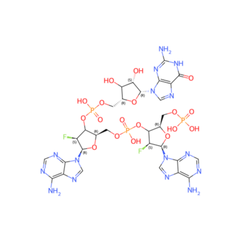 Nc1nc2c(ncn2[C@@H]2O[C@H](COP(=O)(O)OC3[C@@H](COP(=O)(O)OC4[C@@H](COP(=O)(O)O)O[C@@H](n5cnc6c(N)ncnc65)[C@H]4F)O[C@@H](n4cnc5c(N)ncnc54)[C@H]3F)C(O)[C@@H]2O)c(=O)[nH]1